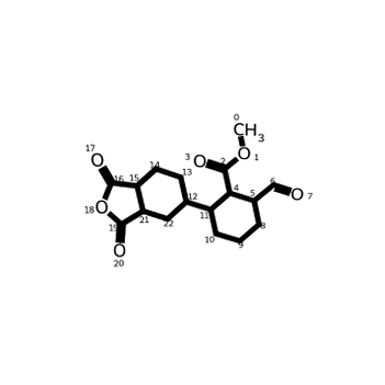 COC(=O)C1C(C=O)CCCC1C1CCC2C(=O)OC(=O)C2C1